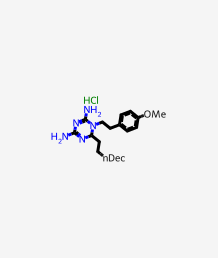 CCCCCCCCCCCCC1N=C(N)N=C(N)N1CCc1ccc(OC)cc1.Cl